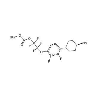 CCC[C@H]1CC[C@H](c2ccc(OC(F)(F)C(F)(F)OC(=O)OC(C)(C)C)c(F)c2F)CC1